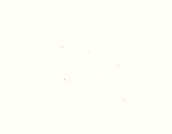 CC[C@@H](N)c1ccc(Cl)c(Oc2ncc([N+](=O)[O-])cn2)c1F